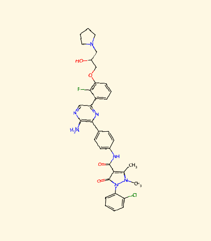 Cc1c(C(=O)Nc2ccc(-c3nc(-c4cccc(OCC(O)CN5CCCC5)c4F)cnc3N)cc2)c(=O)n(-c2ccccc2Cl)n1C